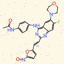 CC(=O)Nc1ccc(Nc2nc(/C=C/c3ccc(N=O)o3)nc3cc(F)c(N4CCOCC4)cc23)cc1